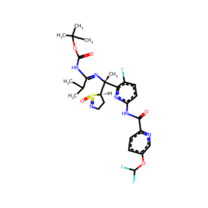 CC(C)(C)OC(=O)NC1=N[C@](C)(c2nc(NC(=O)c3ccc(OC(F)F)cn3)ccc2F)[C@H]2CCN=[S@@]2(=O)C1(C)C